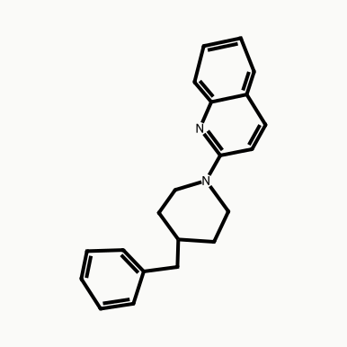 c1ccc(CC2CCN(c3ccc4ccccc4n3)CC2)cc1